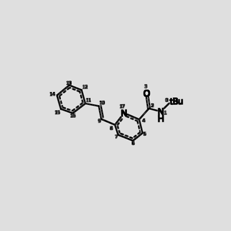 CC(C)(C)NC(=O)c1cccc(C=Cc2ccccc2)n1